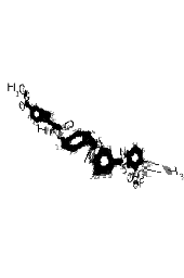 COC(=O)c1ccc(C(=O)Nc2ccc(-c3nc4ccc(-c5nc6ccc(C)c(S(=O)(=O)O)c6s5)cc4s3)cc2)cc1